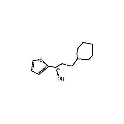 O[C@H](CCC1CCCCC1)c1cccs1